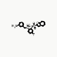 Nc1cccc(C[S+]([O-])c2ccc(F)cc2NS(=O)(=O)c2cc3ccccc3o2)c1